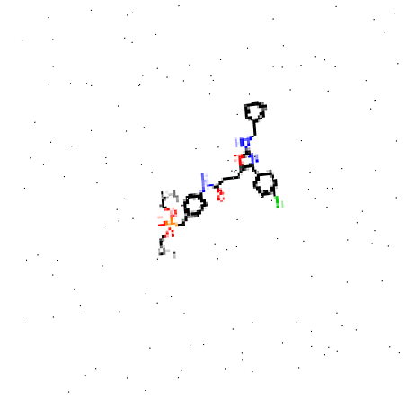 CCOP(=O)(Cc1ccc(NC(=O)CCc2oc(NCc3ccccc3)nc2-c2ccc(Cl)cc2)cc1)OCC